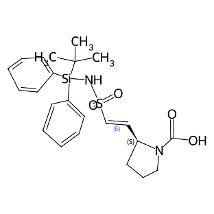 CC(C)(C)[Si](NS(=O)(=O)/C=C/[C@@H]1CCCN1C(=O)O)(c1ccccc1)c1ccccc1